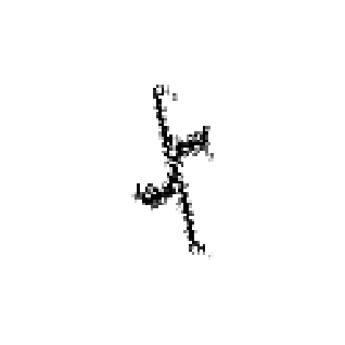 CCCCCCCCCCCCCCc1nc(-c2nc(CCCCCCCCCCCCCC)c(-c3ccc(C(C)(CC)c4sc(F)cc4F)s3)s2)sc1-c1ccc(C(C)(C)c2sc(F)cc2F)s1